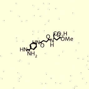 COC(=O)CC(CC(=O)O)NC(=O)CCC(=O)Nc1ccc(C(=N)N)cc1